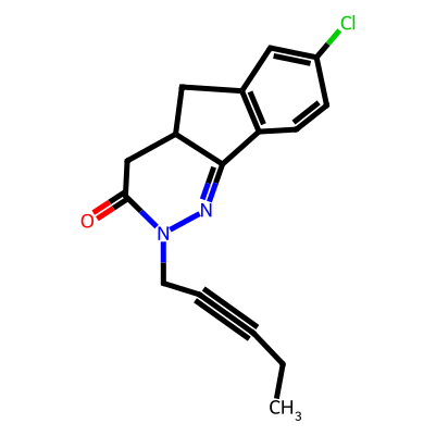 CCC#CCN1N=C2c3ccc(Cl)cc3CC2CC1=O